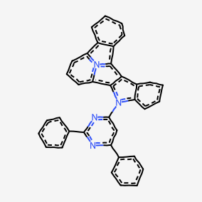 c1ccc(-c2cc(-n3c4ccccc4c4c3c3cccc5c6ccccc6c4n53)nc(-c3ccccc3)n2)cc1